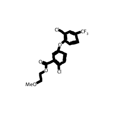 COCCOC(=O)c1cc(Oc2ccc(C(F)(F)F)cc2Cl)ccc1Cl